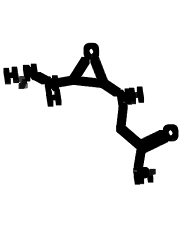 CC(C)C(=O)CNC1OC1NN